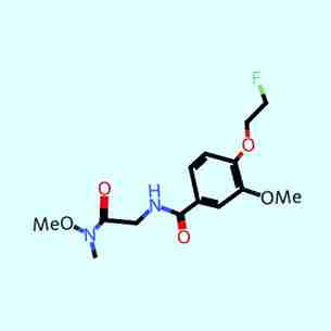 COc1cc(C(=O)NCC(=O)N(C)OC)ccc1OCCF